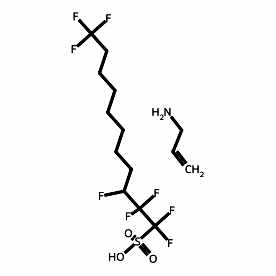 C=CCN.O=S(=O)(O)C(F)(F)C(F)(F)C(F)CCCCCCCC(F)(F)F